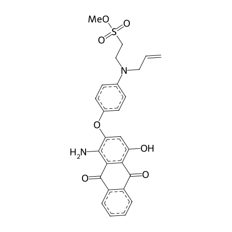 C=CCN(CCS(=O)(=O)OC)c1ccc(Oc2cc(O)c3c(c2N)C(=O)c2ccccc2C3=O)cc1